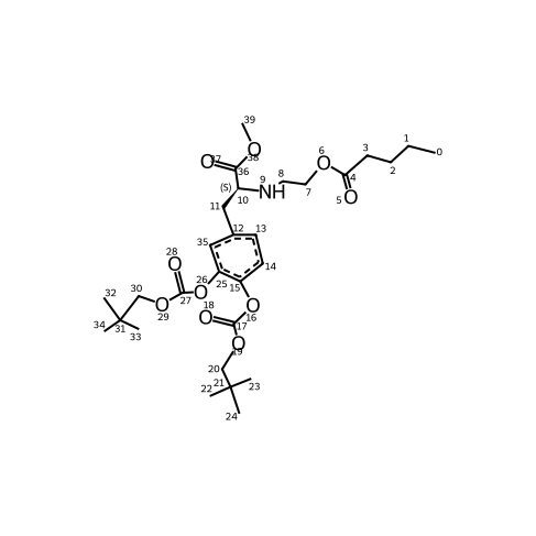 CCCCC(=O)OCCN[C@@H](Cc1ccc(OC(=O)OCC(C)(C)C)c(OC(=O)OCC(C)(C)C)c1)C(=O)OC